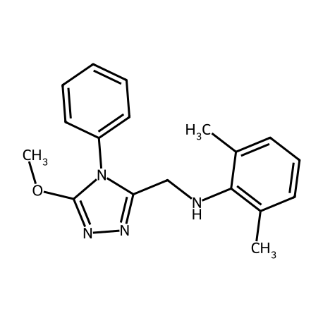 COc1nnc(CNc2c(C)cccc2C)n1-c1ccccc1